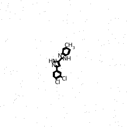 Cc1ccc2[nH]c(-c3cc(-c4ccc(Cl)c(Cl)c4)n[nH]3)nc2c1